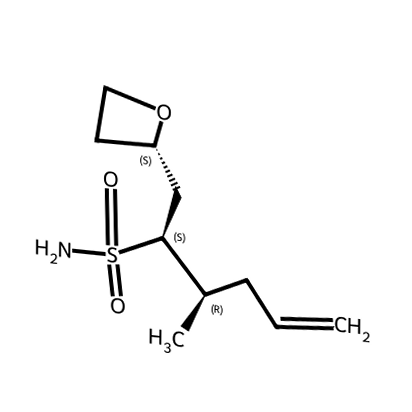 C=CC[C@@H](C)[C@H](C[C@@H]1CCO1)S(N)(=O)=O